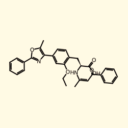 CCOc1cc(-c2nc(-c3ccccc3)oc2C)ccc1C[C@H](N/C(C)=C\C(=O)c1ccccc1)C(=O)O